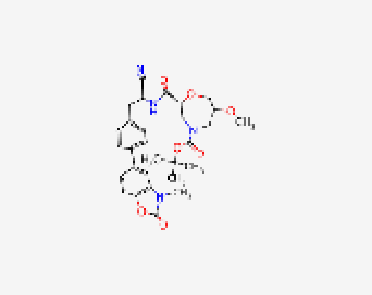 COC1CO[C@H](C(=O)N[C@H](C#N)Cc2ccc(-c3ccc4oc(=O)n(C)c4c3)cc2)CN(C(=O)OC(C)(C)C)C1